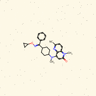 CN(c1cc(=O)n(C)c2ccc(C#N)nc12)C1CCC(/C(=N/OC2CC2)c2ccccc2)CC1